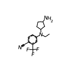 CCN(c1ccc(C#N)c(C(F)(F)F)c1)C1CCC(N)C1